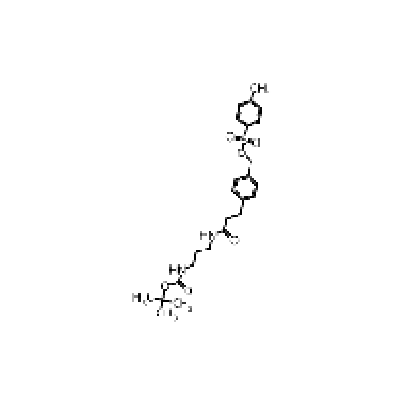 Cc1ccc(S(=O)(=O)OCc2ccc(CCC(=O)NCCCNC(=O)OC(C)(C)C)cc2)cc1